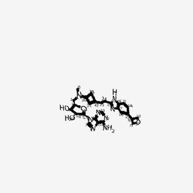 CN(C[C@H]1O[C@@H](n2cnc3c(N)ncnc32)[C@H](O)[C@@H]1O)C1CC(CCc2nc3cc(C4COC4)ccc3[nH]2)C1